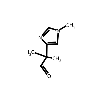 Cn1cnc(C(C)(C)C=O)c1